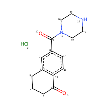 Cl.O=C1CCCc2cc(C(=O)N3CCNCC3)ccc21